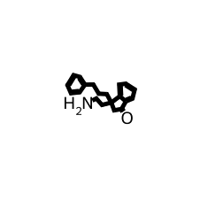 NCCC1(CCCc2ccccc2)CC(=O)c2ccccc21